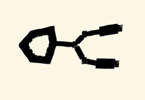 N#CSP(SC#N)c1ccccc1